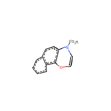 O=C(O)N1C=COc2c1ccc1ccccc21